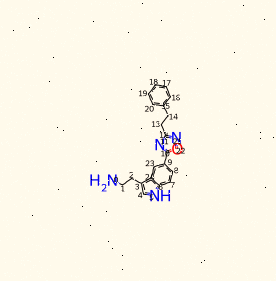 NCCc1c[nH]c2ccc(-c3nc(CCc4ccccc4)no3)cc12